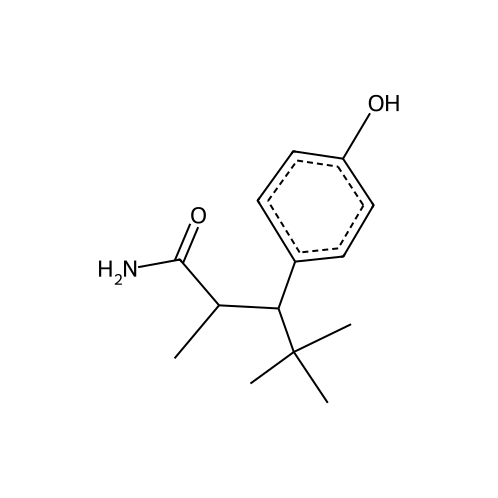 CC(C(N)=O)C(c1ccc(O)cc1)C(C)(C)C